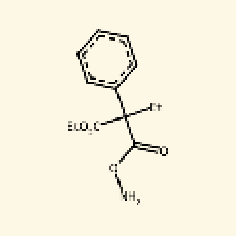 CCOC(=O)C(CC)(C(=O)ON)c1ccccc1